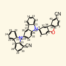 N#Cc1ccc2oc3ccc(-n4c5ccccc5c5cc(-n6c7ccccc7c7cccc(C#N)c76)ccc54)cc3c2c1